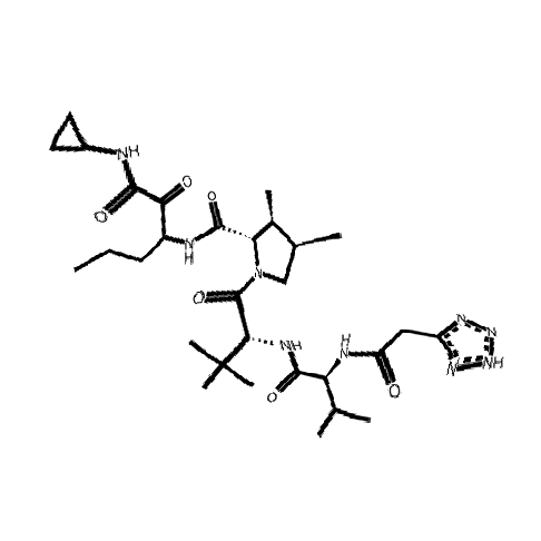 CCCC(NC(=O)[C@@H]1[C@@H](C)[C@@H](C)CN1C(=O)[C@H](NC(=O)[C@@H](NC(=O)Cc1nn[nH]n1)C(C)C)C(C)(C)C)C(=O)C(=O)NC1CC1